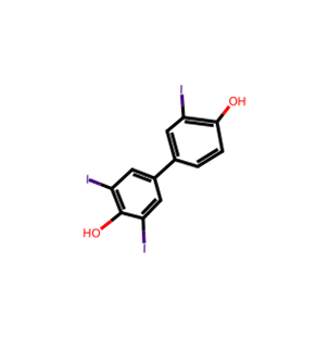 Oc1ccc(-c2cc(I)c(O)c(I)c2)cc1I